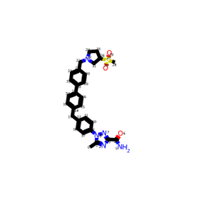 Cc1nc(C(N)=O)nn1-c1ccc(Cc2ccc(-c3ccc(CN4CCC(S(C)(=O)=O)C4)cc3)cc2)cc1